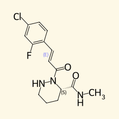 CNC(=O)[C@@H]1CCCNN1C(=O)/C=C/c1ccc(Cl)cc1F